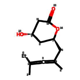 CCC(C)=C=C(C)C[C@H]1C[C@H](O)CC(=O)O1